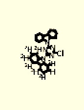 [2H]c1c([2H])c([2H])c2c(c1[2H])c1c([2H])c([2H])c([2H])c([2H])c1n2-c1nc(Cl)nc(-n2c3ccccc3c3ccccc32)n1